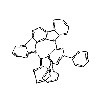 c1ccc(-c2cc(-c3ccccc3)cc(-n3c4ccccc4c4ccc5c6ccccc6n(-c6ccc7ccccc7c6)c5c43)c2)cc1